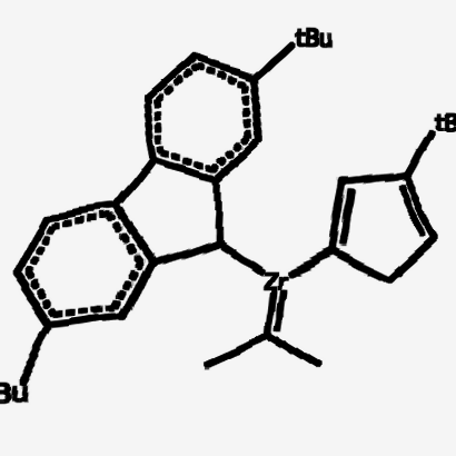 C[C](C)=[Zr]([C]1=CC(C(C)(C)C)=CC1)[CH]1c2cc(C(C)(C)C)ccc2-c2ccc(C(C)(C)C)cc21